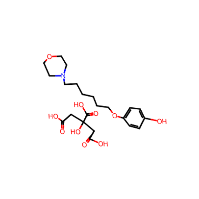 O=C(O)CC(O)(CC(=O)O)C(=O)O.Oc1ccc(OCCCCCCN2CCOCC2)cc1